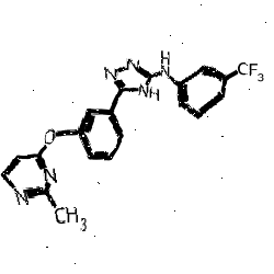 Cc1nccc(Oc2cccc(-c3nnc(Nc4cccc(C(F)(F)F)c4)[nH]3)c2)n1